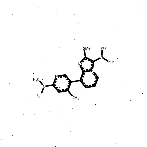 CCCN(CCC)c1c(SC)nc2c(-c3cnc(N(C)C)cc3C)cccn12